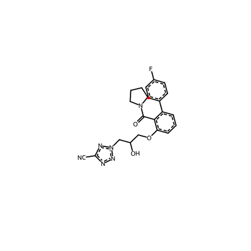 N#Cc1nnn(CC(O)COc2cccc(-c3ccc(F)cc3)c2C(=O)N2CCCC2)n1